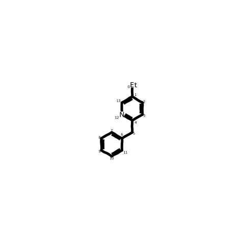 CCc1ccc(Cc2ccccc2)nc1